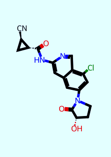 N#C[C@@H]1C[C@H]1C(=O)Nc1cc2cc(N3CC[C@H](O)C3=O)cc(Cl)c2cn1